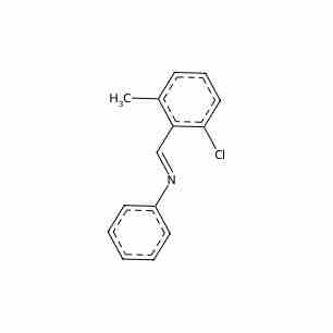 Cc1cccc(Cl)c1C=Nc1ccccc1